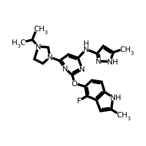 Cc1cc(Nc2cc(N3CCN(C(C)C)C3)nc(Oc3ccc4[nH]c(C)cc4c3F)n2)n[nH]1